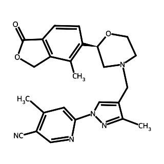 Cc1cc(-n2cc(CN3CCO[C@H](c4ccc5c(c4C)COC5=O)C3)c(C)n2)ncc1C#N